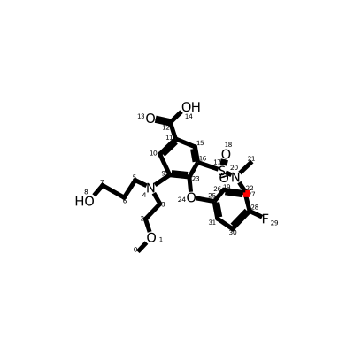 COCCN(CCCO)c1cc(C(=O)O)cc(S(=O)(=O)N(C)C)c1Oc1ccc(F)cc1